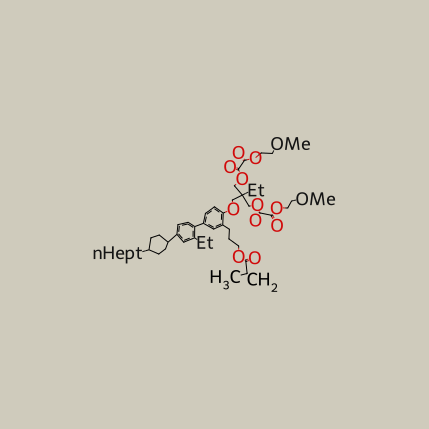 C=C(C)C(=O)OCCCc1cc(-c2ccc(C3CCC(CCCCCCC)CC3)cc2CC)ccc1OCC(CC)(COC(=O)C(=O)OCCOC)COC(=O)C(=O)OCCOC